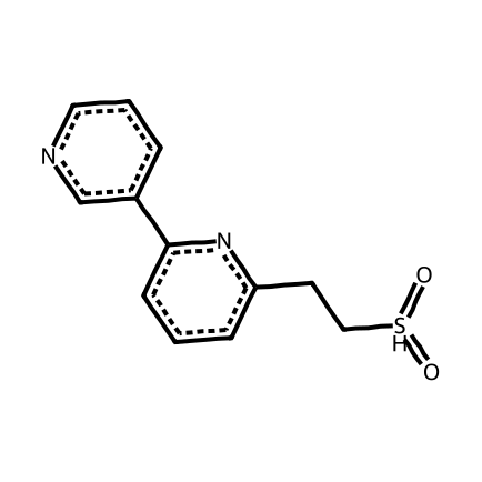 O=[SH](=O)CCc1cccc(-c2cccnc2)n1